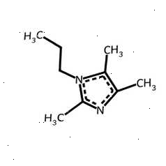 CCCn1c(C)nc(C)c1C